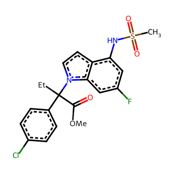 CCC(C(=O)OC)(c1ccc(Cl)cc1)n1ccc2c(NS(C)(=O)=O)cc(F)cc21